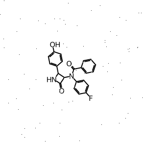 O=C1NC(c2ccc(O)cc2)C1N(C(=O)c1ccccc1)c1ccc(F)cc1